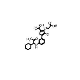 CC(=O)C(Nc1cccc(-c2sc(C(=O)O)c(OCC(=O)O)c2Cl)c1)C1CCCCC1